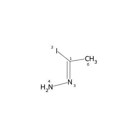 C/C(I)=N/N